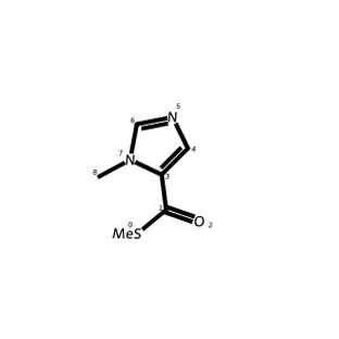 CSC(=O)c1cncn1C